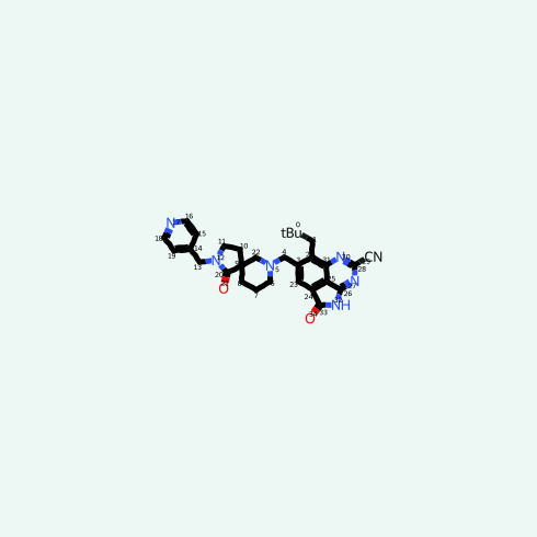 CC(C)(C)Cc1c(CN2CCCC3(CCN(Cc4ccncc4)C3=O)C2)cc2c3c(nc(C#N)nc13)NC2=O